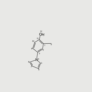 Cc1cc(-n2cccc2)ccc1O